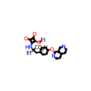 CCOc1c(N[C@@](CC)(Cc2ccc(Oc3nccc4ccncc34)cc2)C(=O)O)c(=O)c1=O